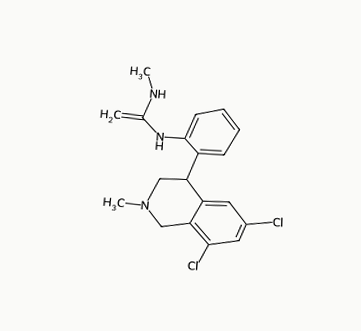 C=C(NC)Nc1ccccc1C1CN(C)Cc2c(Cl)cc(Cl)cc21